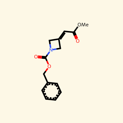 COC(=O)C=C1CN(C(=O)OCc2ccccc2)C1